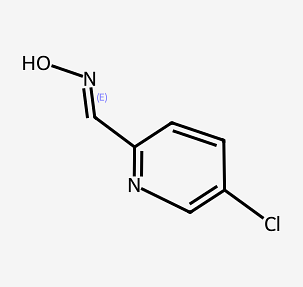 O/N=C/c1ccc(Cl)cn1